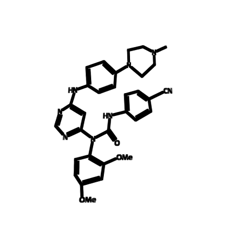 COc1ccc(N(C(=O)Nc2ccc(C#N)cc2)c2cc(Nc3ccc(N4CCN(C)CC4)cc3)ncn2)c(OC)c1